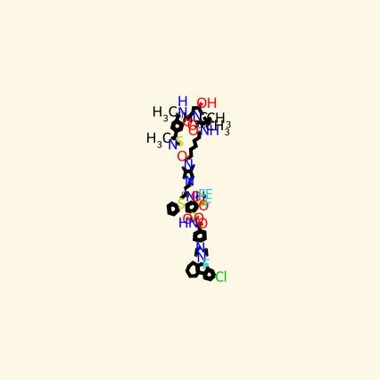 Cc1ncsc1-c1ccc([C@H](C)NC(=O)C2CC(O)CN2C(=O)[C@@H](NC(=O)CCCCCC(=O)N2CC3CN(CC[C@H](CSc4ccccc4)Nc4ccc(S(=O)(=O)NC(=O)c5ccc(N6CCN(CC7=C(c8ccc(Cl)cc8F)CCCCC7)CC6)cc5)cc4S(=O)(=O)C(F)(F)F)CC3C2)C(C)(C)C)cc1